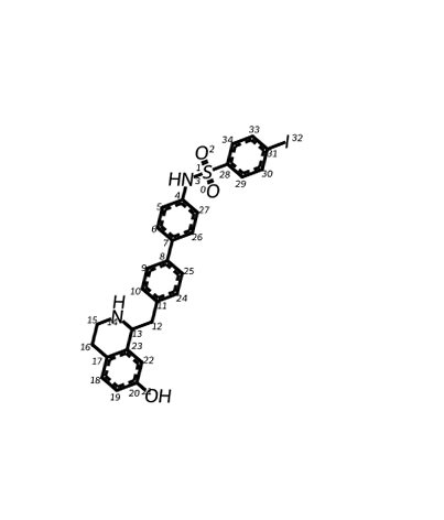 O=S(=O)(Nc1ccc(-c2ccc(CC3NCCc4ccc(O)cc43)cc2)cc1)c1ccc(I)cc1